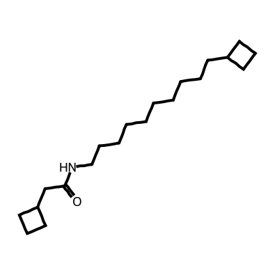 O=C(CC1CCC1)NCCCCCCCCCCC1CCC1